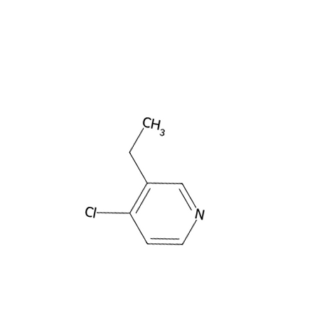 CCc1cnccc1Cl